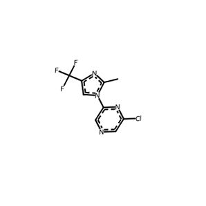 Cc1nc(C(F)(F)F)cn1-c1cncc(Cl)n1